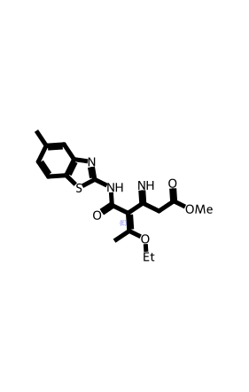 CCO/C(C)=C(\C(=N)CC(=O)OC)C(=O)Nc1nc2cc(C)ccc2s1